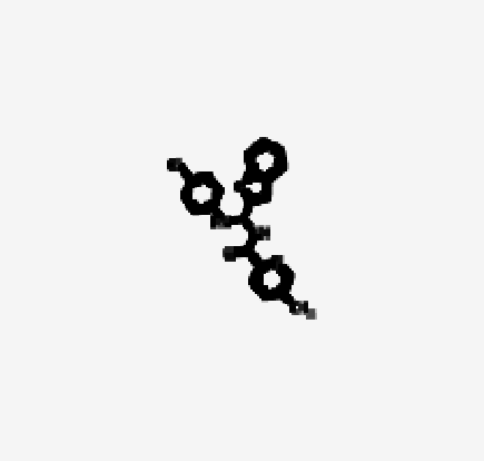 Cc1ccc(C(=O)NC(Nc2ccc(Cl)cc2)c2cc3ccccc3o2)nc1